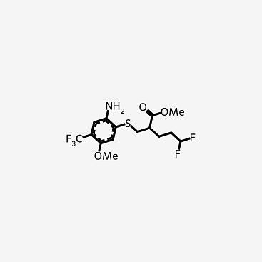 COC(=O)C(CCC(F)F)CSc1cc(OC)c(C(F)(F)F)cc1N